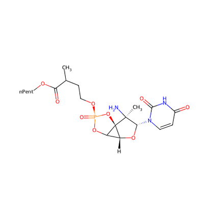 CCCCCOC(=O)C(C)CCO[P@]1(=O)OC2[C@H]3O[C@@H](n4ccc(=O)[nH]c4=O)[C@](C)(N)[C@@]23O1